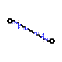 S=C(NCCCNCCCCNCCCNC(=S)NCc1ccccc1)NCc1ccccc1